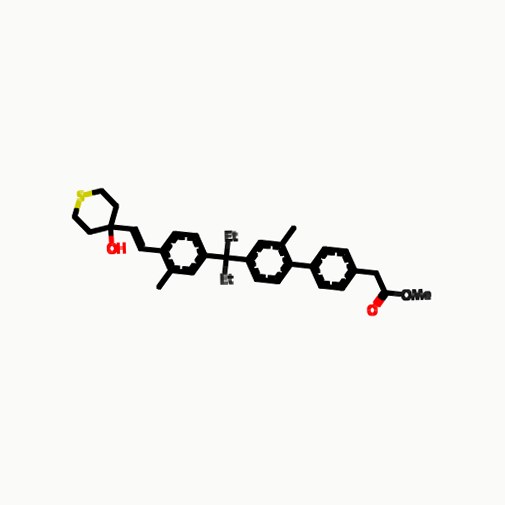 CCC(CC)(c1ccc(C=CC2(O)CCSCC2)c(C)c1)c1ccc(-c2ccc(CC(=O)OC)cc2)c(C)c1